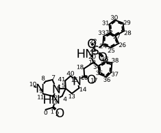 CC(=O)NCC1(N2CCN(C)CC2)CCN(C(=O)CC(NS(=O)(=O)c2ccc3ccccc3c2)c2ccccc2)CC1